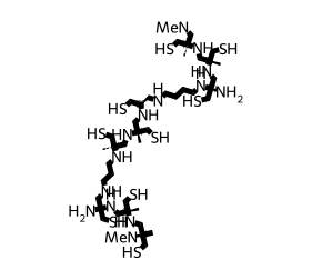 CNC[C@](C)(CS)NC[C@](C)(CS)NC[C@](N)(CS)NCCCCNC[C@H](CS)NC[C@](C)(CS)NC[C@](C)(CS)NCCCNCC(N)(CS)NC[C@](C)(CS)NC[C@](C)(CS)NC